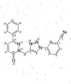 N#Cc1cccc(-n2cc(Cn3nc(-c4ccccc4)ccc3=O)nn2)c1